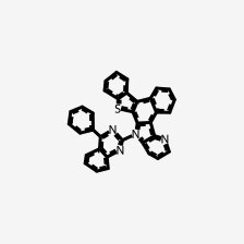 c1ccc(-c2nc(-n3c4cccnc4c4c5ccccc5c5c6ccccc6sc5c43)nc3ccccc23)cc1